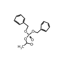 CC([O])OP(=O)(OCc1ccccc1)OCc1ccccc1